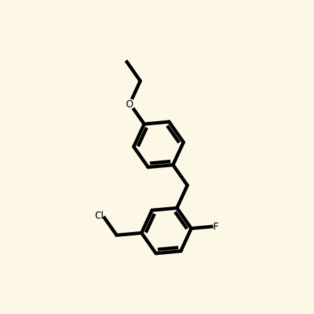 CCOc1ccc(Cc2cc(CCl)ccc2F)cc1